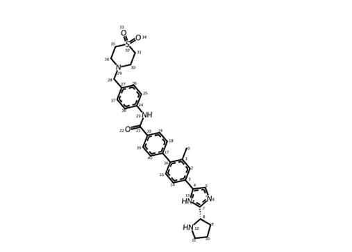 Cc1cc(-c2cnc([C@@H]3CCCN3)[nH]2)ccc1-c1ccc(C(=O)Nc2ccc(CN3CCS(=O)(=O)CC3)cc2)cc1